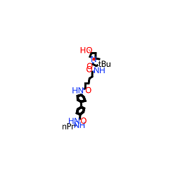 CCCNNC(=O)c1ccc(-c2ccc(NC(=O)CCCCC(=O)NC(C(=O)N3C[C@H](O)CC3C)C(C)(C)C)cc2)cc1